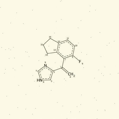 C=C(c1c[nH]cn1)c1c(F)ccc2c1CCC2